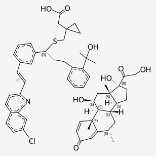 CC(C)(O)c1ccccc1CC[C@@H](SCC1(CC(=O)O)CC1)c1cccc(/C=C/c2ccc3ccc(Cl)cc3n2)c1.C[C@H]1C[C@@H]2[C@H]([C@@H](O)C[C@@]3(C)[C@H]2CC[C@]3(O)C(=O)CO)[C@@]2(C)C=CC(=O)C=C12